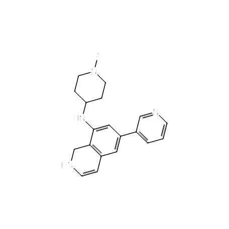 CC(=O)N1CCC(Nc2cc(-c3cccnc3)cc3c2CNC=C3)CC1